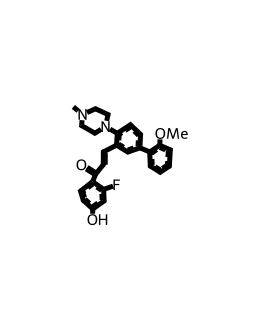 COc1ccccc1-c1ccc(N2CCN(C)CC2)c(C=CC(=O)c2ccc(O)cc2F)c1